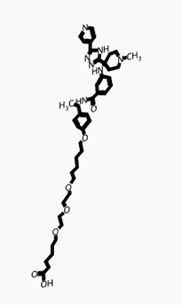 CC(NC(=O)c1cccc(NC2(c3nnc(-c4ccncc4)[nH]3)CCN(C)CC2)c1)c1ccc(OCCCCCCOCCOCCOCCCCCC(=O)O)cc1